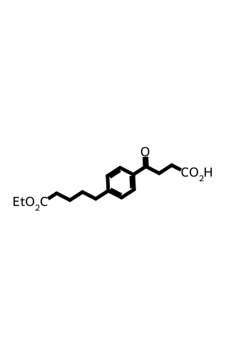 CCOC(=O)CCCCc1ccc(C(=O)CCC(=O)O)cc1